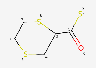 O=C([S])C1CSCCS1